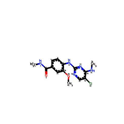 CNC(=O)c1ccc(Nc2ncc(Cl)c(NC)n2)c(OC)c1